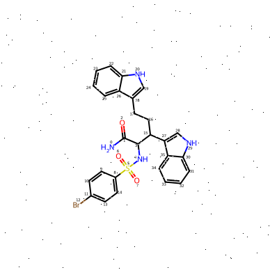 NC(=O)C(NS(=O)(=O)c1ccc(Br)cc1)C(CCc1c[nH]c2ccccc12)c1c[nH]c2ccccc12